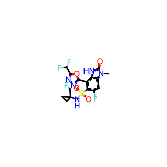 Cn1c(=O)[nH]c2c(-c3nnc(C(F)F)o3)c(S(=O)(=O)NC3(CF)CC3)c(F)cc21